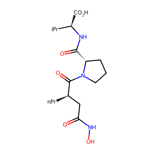 CCC[C@H](CC(=O)NO)C(=O)N1CCC[C@H]1C(=O)N[C@H](C(=O)O)C(C)C